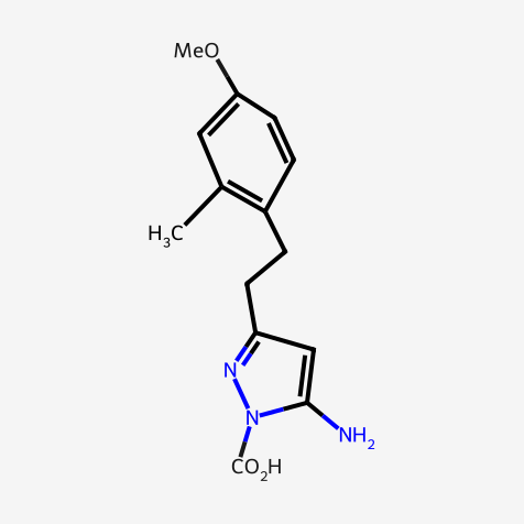 COc1ccc(CCc2cc(N)n(C(=O)O)n2)c(C)c1